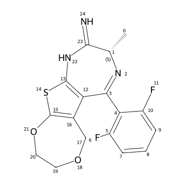 C[C@@H]1N=C(c2c(F)cccc2F)c2c(sc3c2COCCO3)NC1=N